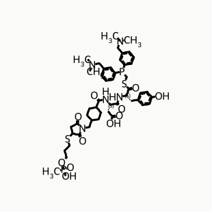 CN(C)Cc1cccc(P(CSC(=O)[C@H](Cc2ccc(O)cc2)NC(=O)[C@H](CC(=O)O)NC(=O)C2CCC(CN3C(=O)CC(SCCCOP(C)(=O)O)C3=O)CC2)c2cccc(CN(C)C)c2)c1